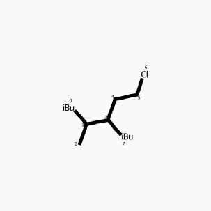 CCC(C)C(C)C(CCCl)C(C)CC